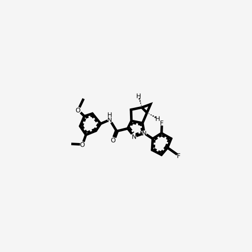 COc1cc(NC(=O)c2nn(-c3ccc(F)cc3F)c3c2C[C@H]2C[C@@H]32)cc(OC)c1